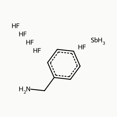 F.F.F.F.F.NCc1ccccc1.[SbH3]